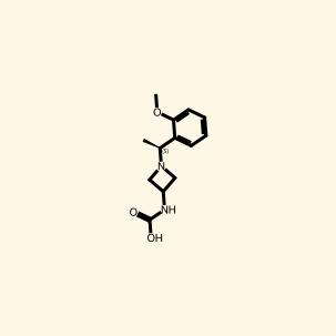 COc1ccccc1[C@H](C)N1CC(NC(=O)O)C1